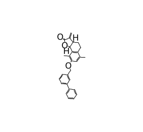 C=C1C(=O)O[C@H]2c3c(C)c(OCc4cccc(-c5ccccc5)c4)cc(C)c3CC[C@@H]12